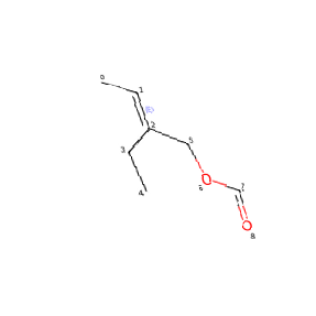 C/C=C(\CC)CO[C]=O